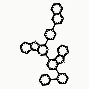 c1ccc(-c2ccccc2-c2ccc(-c3nc(-c4ccc(-c5ccc6ccccc6c5)cc4)c4sc5ccccc5c4n3)c3c2oc2ccccc23)cc1